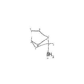 BC1(C)CC2CCC1C2